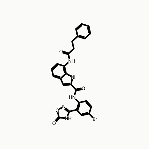 O=C(CCc1ccccc1)Nc1cccc2cc(C(=O)Nc3ccc(Br)cc3-c3noc(=O)[nH]3)[nH]c12